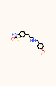 COc1ccc(CNCCCc2ccc3[nH]c(=O)sc3c2)cc1